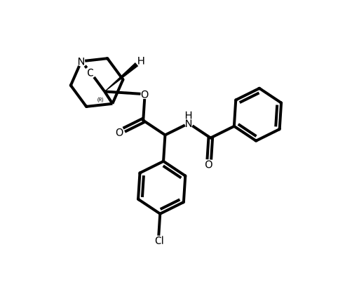 O=C(NC(C(=O)O[C@H]1CN2CCC1CC2)c1ccc(Cl)cc1)c1ccccc1